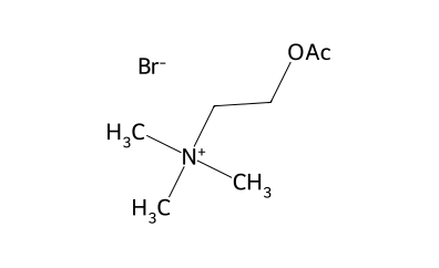 CC(=O)OCC[N+](C)(C)C.[Br-]